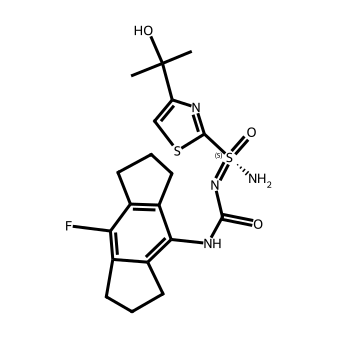 CC(C)(O)c1csc([S@@](N)(=O)=NC(=O)Nc2c3c(c(F)c4c2CCC4)CCC3)n1